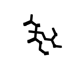 COC(CCC(C)(NC(C)=O)C(=O)OCS)OC